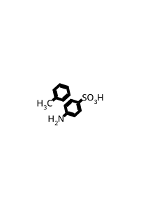 Cc1ccccc1.Nc1ccc(S(=O)(=O)O)cc1